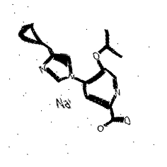 CC(C)Oc1cnc(C(=O)[O-])cc1-n1cnc(C2CC2)c1.[Na+]